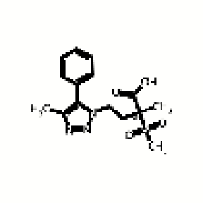 Cc1nnn(CC[C@](C)(C(=O)O)S(C)(=O)=O)c1-c1ccccc1